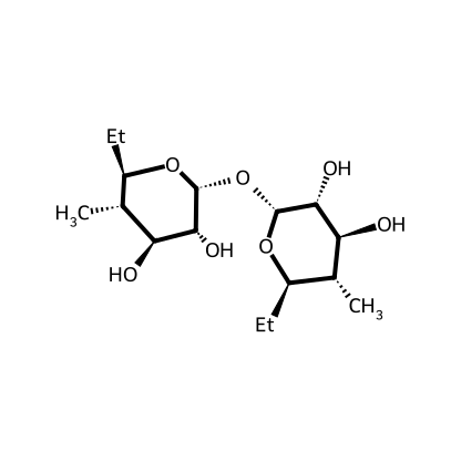 CC[C@H]1O[C@H](O[C@H]2O[C@H](CC)[C@@H](C)[C@H](O)[C@H]2O)[C@H](O)[C@@H](O)[C@@H]1C